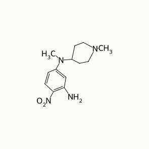 CN1CCC(N(C)c2ccc([N+](=O)[O-])c(N)c2)CC1